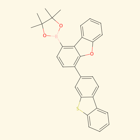 CC1(C)OB(c2ccc(-c3ccc4c(c3)sc3ccccc34)c3oc4ccccc4c23)OC1(C)C